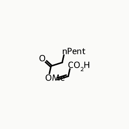 C=CC(=O)O.CCCCCCC(=O)OC